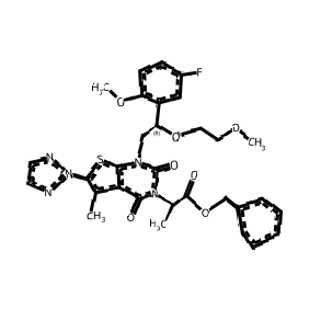 COCCO[C@@H](Cn1c(=O)n(C(C)C(=O)OCc2ccccc2)c(=O)c2c(C)c(-n3nccn3)sc21)c1cc(F)ccc1OC